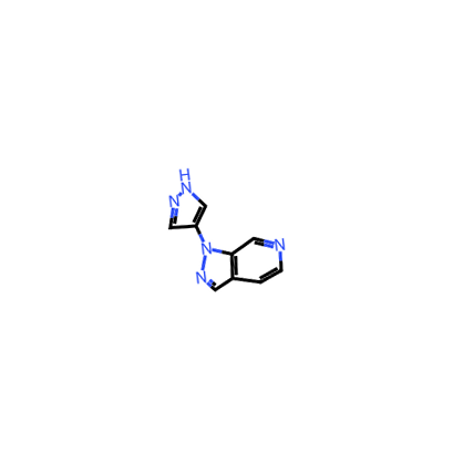 c1cc2cnn(-c3cn[nH]c3)c2cn1